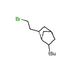 CC(C)(C)C1CC2CC(CCBr)C1C2